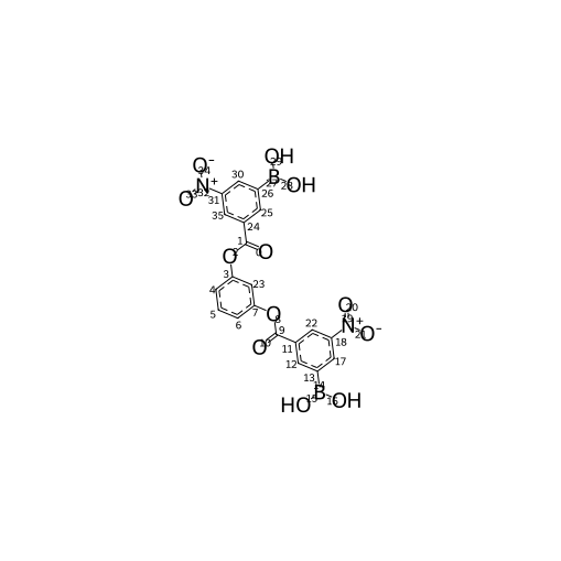 O=C(Oc1cccc(OC(=O)c2cc(B(O)O)cc([N+](=O)[O-])c2)c1)c1cc(B(O)O)cc([N+](=O)[O-])c1